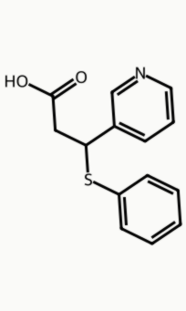 O=C(O)CC(Sc1ccccc1)c1cccnc1